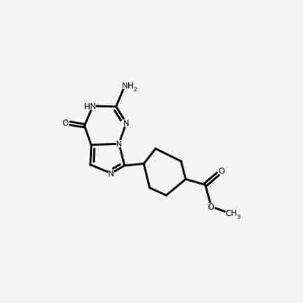 COC(=O)C1CCC(c2ncc3c(=O)[nH]c(N)nn23)CC1